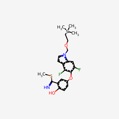 CSC(=N)c1cc(Oc2c(F)cc3c(ccn3COCC[Si](C)(C)C)c2F)ccc1O